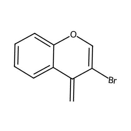 C=C1C(Br)=COc2ccccc21